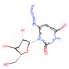 [N-]=[N+]=Nc1cc(=O)[nH]c(=O)n1[C@@H]1O[C@H](CO)C(O)[C@@H]1O